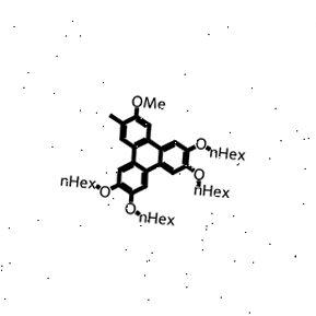 CCCCCCOc1cc2c3cc(C)c(OC)cc3c3cc(OCCCCCC)c(OCCCCCC)cc3c2cc1OCCCCCC